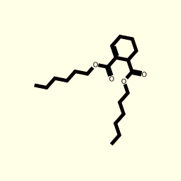 CCCCCCOC(=O)C1=CCCCC1C(=O)OCCCCCC